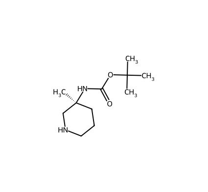 CC(C)(C)OC(=O)N[C@@]1(C)CCCNC1